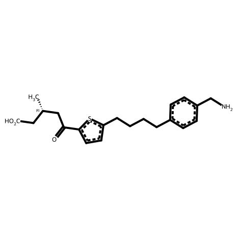 C[C@@H](CC(=O)O)CC(=O)c1ccc(CCCCc2ccc(CN)cc2)s1